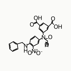 O=C(O)c1cc(C(=O)O)cc(N(c2ccc(NCc3ccccc3)c([N+](=O)[O-])c2)[SH](=O)=O)c1